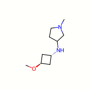 CO[C@H]1C[C@H](NC2CCN(C)C2)C1